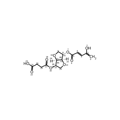 C=C(O)C=CC(=O)O[C@H]1CO[C@H]2[C@@H]1OC[C@H]2OC(=O)CCC(=O)O